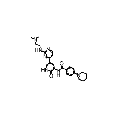 CN(C)CCNc1nccc(-c2c[nH]c(=O)c(NC(=O)c3ccc(N4CCCCC4)cc3)c2)n1